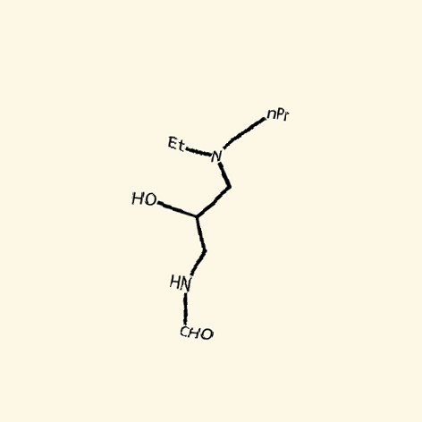 CCCN(CC)CC(O)CNC=O